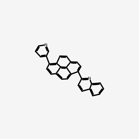 c1cncc(-c2ccc3ccc4c(-c5ccc6ccccc6n5)ccc5ccc2c3c54)c1